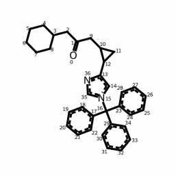 O=C(CC1CCCCC1)CC1CC1c1cn(C(c2ccccc2)(c2ccccc2)c2ccccc2)cn1